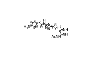 CC(=O)NC(=N)SC(=N)CC1CC(c2nnc(NC(=O)Cc3ccc(C)cn3)s2)C1